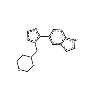 c1cn(CC2CCOCC2)c(-c2ccc3[nH]ccc3c2)n1